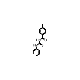 C/C=C\C(=C/C)NC(=S)NC(=O)c1ccc(C)cc1